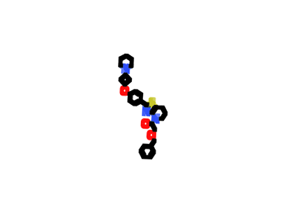 O=C(COCc1ccccc1)N1CCCc2sc(-c3ccc(O[C@H]4C[C@H](N5CCCCC5)C4)cc3)nc21